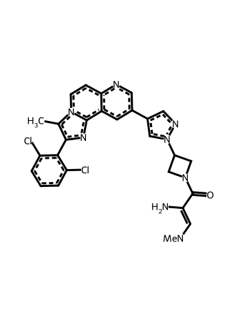 CN/C=C(\N)C(=O)N1CC(n2cc(-c3cnc4ccn5c(C)c(-c6c(Cl)cccc6Cl)nc5c4c3)cn2)C1